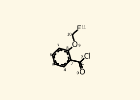 O=C(Cl)c1ccccc1OCF